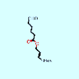 CCCCCCC=CCOC(=O)CCCCC=O